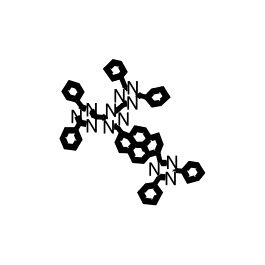 c1ccc(-c2nc(-c3ccccc3)nc(-c3nc(-c4nc(-c5ccccc5)nc(-c5ccccc5)n4)nc(-c4ccc5ccc6c(-c7nc(-c8ccccc8)nc(-c8ccccc8)n7)ccc7ccc4c5c76)n3)n2)cc1